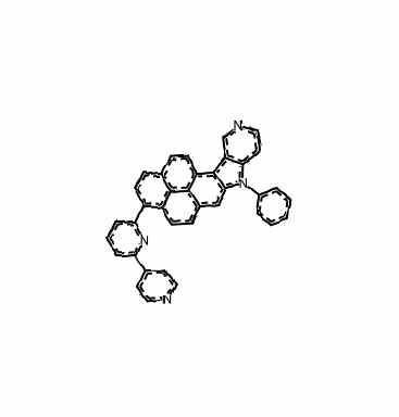 c1ccc(-n2c3ccncc3c3c4ccc5ccc(-c6cccc(-c7ccncc7)n6)c6ccc(cc32)c4c56)cc1